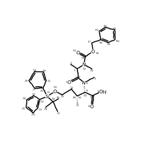 CC(C(=O)N(C)[C@H](C(=O)O)[C@H](C)CCO[Si](c1ccccc1)(c1ccccc1)C(C)(C)C)N(C)C(=O)OCc1ccccc1